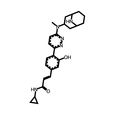 CN(c1ccc(-c2ccc(/C=C/C(=O)NC3CC3)cc2O)nn1)C1CC2CCCC(C1)N2